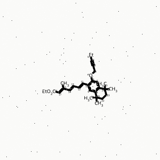 CCC#CCOc1cc2c(cc1/C=C/C=C/C(C)=C/C(=O)OCC)C(C)(C)CCC2(C)C